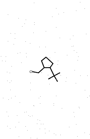 CC(C)(C)C1CCCC1CCl